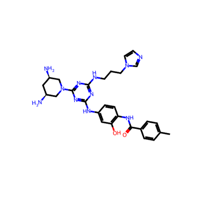 Cc1ccc(C(=O)Nc2ccc(Nc3nc(NCCCn4ccnc4)nc(N4C[C@H](N)C[C@H](N)C4)n3)cc2O)cc1